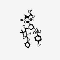 C=C[C@@H]1C[C@]1(NC(=O)[C@@H]1C[C@H](OS(=O)(=O)c2ccc(Br)cc2)CN1C(=O)[C@H](NC(=O)OC1CCCC1)C(C)(C)C)C(=O)OC